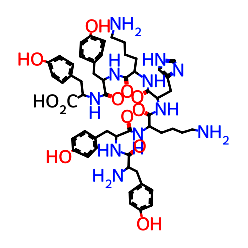 NCCCCC(NC(=O)C(Cc1ccc(O)cc1)NC(=O)C(N)Cc1ccc(O)cc1)C(=O)NC(Cc1c[nH]cn1)C(=O)NC(CCCCN)C(=O)NC(Cc1ccc(O)cc1)C(=O)NC(Cc1ccc(O)cc1)C(=O)O